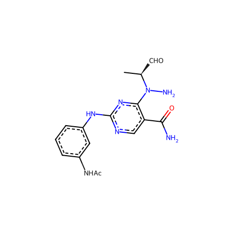 CC(=O)Nc1cccc(Nc2ncc(C(N)=O)c(N(N)[C@@H](C)C=O)n2)c1